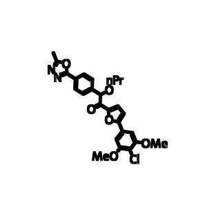 CCCOC(C(=O)c1ccc(-c2cc(OC)c(Cl)c(OC)c2)o1)c1ccc(-c2nnc(C)o2)cc1